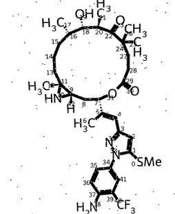 CSc1cc(/C=C(\C)[C@@H]2C[C@@H]3N[C@]3(C)CCC[C@H](C)[C@H](O)[C@@H](C)C(=O)C(C)(C)CCC(=O)O2)nn1-c1ccc(N)c(C(F)(F)F)c1